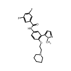 Cn1nccc1-c1cc(NC(=O)c2cc(F)cc(F)c2)ccc1OCCN1CCCCC1